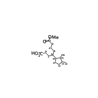 COC(=O)CCCC(CCC(=O)O)C1CCC(C)C1C